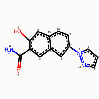 NC(=O)c1cc2cc(-n3cccn3)ccc2cc1O